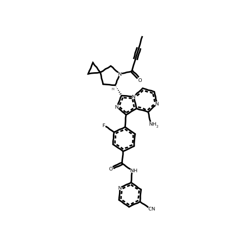 CC#CC(=O)N1CC2(CC2)C[C@H]1c1nc(-c2ccc(C(=O)Nc3cc(C#N)ccn3)cc2F)c2c(N)nccn12